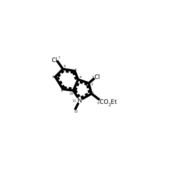 CCOC(=O)c1c(Cl)c2cc(Cl)ccc2n1C